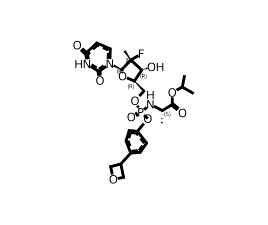 CC(C)OC(=O)[C@H](C)NP(=O)(OC[C@H]1O[C@@H](n2ccc(=O)[nH]c2=O)[C@](C)(F)[C@@H]1O)Oc1ccc(C2COC2)cc1